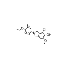 CCOC(=O)[C@@H](C)CC(=O)N1Cc2cc(OC)c(O)c(Cl)c2C1